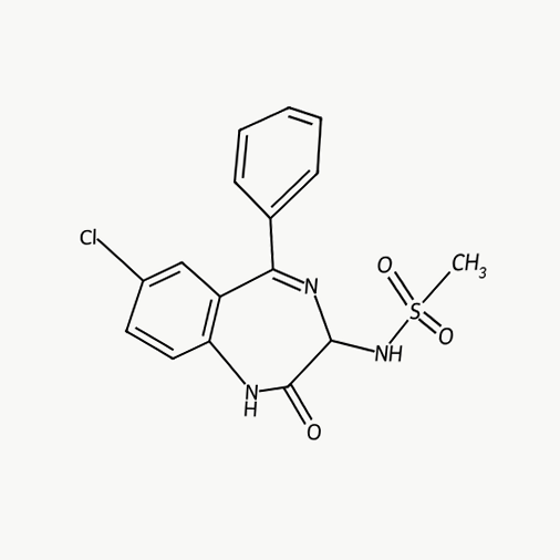 CS(=O)(=O)NC1N=C(c2ccccc2)c2cc(Cl)ccc2NC1=O